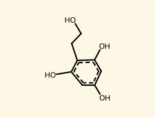 OCCc1c(O)cc(O)cc1O